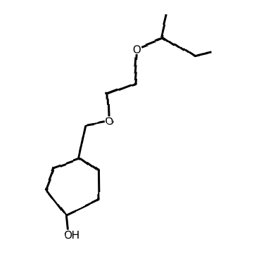 CCC(C)OCCOCC1CCC(O)CC1